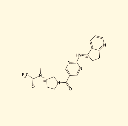 CN(C(=O)C(F)(F)F)[C@H]1CCN(C(=O)c2cnc(N[C@@H]3CCc4ncccc43)nc2)C1